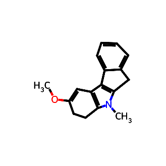 COC1=Cc2c3c(n(C)c2CC1)Cc1ccccc1-3